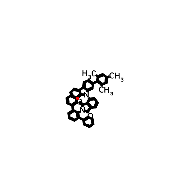 Cc1cc(C)c(-c2ccc3c4ccccc4n(-c4cccc5c4C(=O)N(c4c(-c6ccccc6)cccc4-c4ccccc4)C5=O)c3c2)c(C)c1